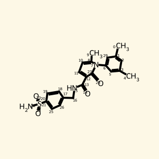 Cc1cc(C)cc(-n2c(C)ccc(C(=O)NCc3ccc(S(N)(=O)=O)cc3)c2=O)c1